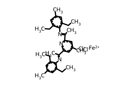 CCc1cc(C)cc(CC)c1N=C(C)c1cc(C)cc(C(C)=Nc2c(CC)cc(C)cc2CC)n1.[Cl-].[Cl-].[Fe+2]